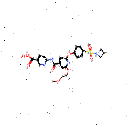 COC[C@@H](C)Oc1cc(C(=O)Nc2ccc(C(=O)O)cn2)cc(Oc2ccc(S(=O)(=O)N3CCC3)cc2)n1